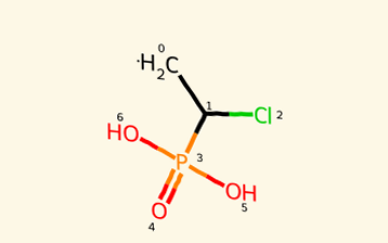 [CH2]C(Cl)P(=O)(O)O